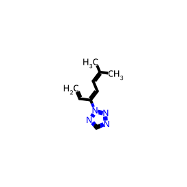 C=C/C(=C\C=C(C)C)n1ncnn1